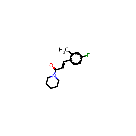 Cc1cc(F)ccc1C=CC(=O)N1CCCCC1